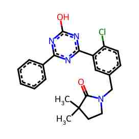 CC1(C)CCN(Cc2ccc(Cl)c(-c3nc(O)nc(-c4ccccc4)n3)c2)C1=O